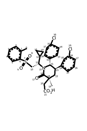 Cc1ccccc1S(=O)(=O)C[C@H](C1CC1)N1C(=O)[C@](C)(CC(=O)O)C[C@H](c2cccc(Cl)c2)[C@H]1c1ccc(Cl)cc1